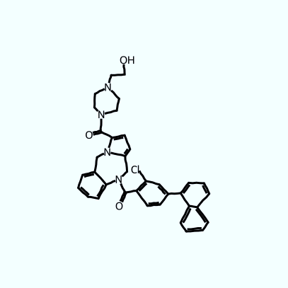 O=C(c1ccc2n1Cc1ccccc1N(C(=O)c1ccc(-c3cccc4ccccc34)cc1Cl)C2)N1CCN(CCO)CC1